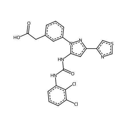 O=C(O)Cc1cccc(-n2nc(-c3cscn3)cc2NC(=O)Nc2cccc(Cl)c2Cl)c1